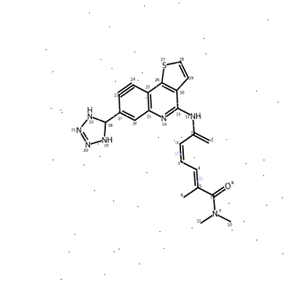 C=C(/C=C\C=C(/C)C(=O)N(C)C)Nc1nc2cc(C3NN=NN3)c#cc2c2sccc12